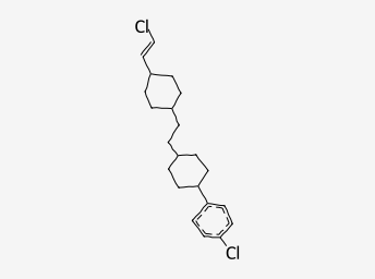 Cl/C=C/C1CCC(CCC2CCC(c3ccc(Cl)cc3)CC2)CC1